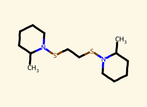 CC1CCCCN1SCCSN1CCCCC1C